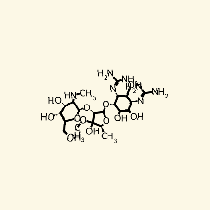 CNC1[C@@H](O[C@@H]2C(O[C@H]3C(O)C(O)[C@H](N=C(N)N)C(O)[C@H]3N=C(N)N)O[C@@H](C)C2(O)OC)OC(CO)[C@H](O)[C@@H]1O